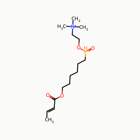 CC=CC(=O)OCCCCCC[PH](=O)OCC[N+](C)(C)C